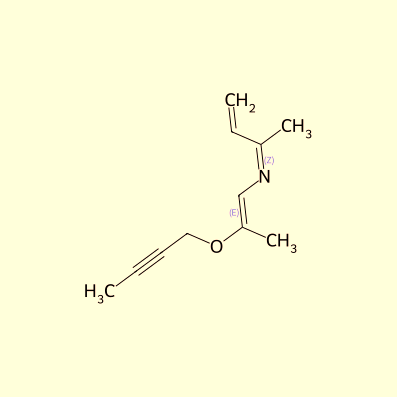 C=C/C(C)=N\C=C(/C)OCC#CC